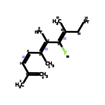 C=C(C)\C=C/C(C)=C(CCC)/C(F)=C(\C)CC(C)C